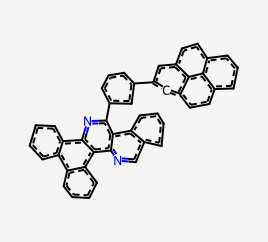 c1cc(-c2cc3ccc4cccc5ccc(c2)c3c45)cc(-c2nc3c4ccccc4c4ccccc4c3c3ncc4ccccc4c23)c1